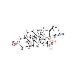 C=C1C[C@H]2[C@@H]3CCC4=CC(=O)CC[C@]4(C)[C@@H]3CC[C@]2(C)C1(O)C#N